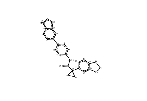 O=C(Nc1ccc(-c2ccc3[nH]ccc3c2)cn1)C1(c2ccc3c(c2)OCO3)CC1